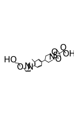 Cc1cc(C2CCN(S(=O)(=O)C(C)(C)C(=O)O)CC2)ccc1-n1ccc(OCCO)n1